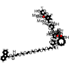 CCN(CCCOCCOCCOCCOCCOCCOCCNC(=O)OCC1c2ccccc2-c2ccccc21)[C@H]1CO[C@@H](O[C@H]2[C@H](O[C@H]3C#CC=CC#C[C@]4(O)CC(=O)C(NC(=O)OC)=C3/C4=C\CSSC(C)(C)C)O[C@H](C)[C@@H](NO[C@H]3C[C@H](O)[C@H]([SH]=C(O)c4c(C)c(I)c(O[C@@H]5O[C@@H](C)[C@H](O)[C@@H](OC)[C@H]5O)c(OC)c4OC)[C@@H](C)O3)[C@@H]2O)C[C@@H]1OC